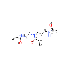 C=CC(=O)NCCN(CCCNC(C)=O)C(=O)C=C